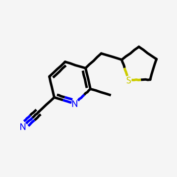 Cc1nc(C#N)ccc1CC1CCCS1